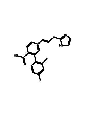 O=C(O)c1ccc(C=CCc2ncc[nH]2)cc1-c1ccc(F)cc1F